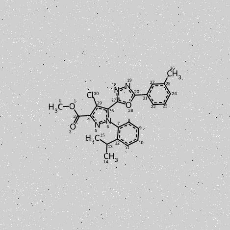 COC(=O)c1nn(-c2ccccc2C(C)C)c(-c2nnc(-c3cccc(C)c3)o2)c1Cl